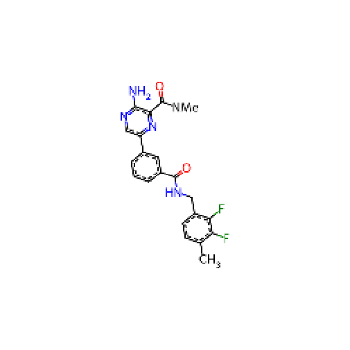 CNC(=O)c1nc(-c2cccc(C(=O)NCc3ccc(C)c(F)c3F)c2)cnc1N